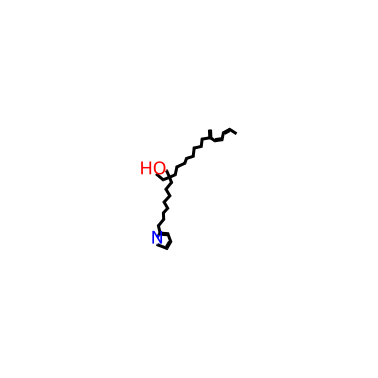 C=C(/C=C\C=C/C)CCCCCCCCC(CC)(CO)CCCCCCCCc1ccccn1